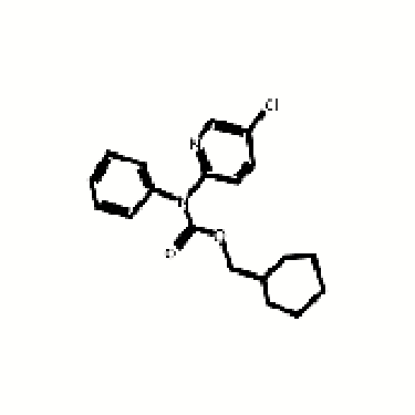 O=C(OCC1CCCCC1)N(c1ccccc1)c1ccc(Cl)cn1